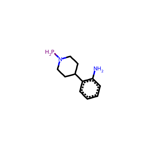 Nc1ccccc1C1CCN(P)CC1